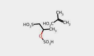 C=C(C)C(=O)O.CC(CS(=O)(=O)O)OS(=O)(=O)O